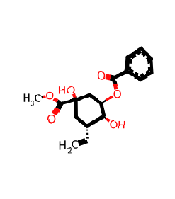 C=C[C@@H]1C[C@](O)(C(=O)OC)C[C@@H](OC(=O)c2ccccc2)[C@H]1O